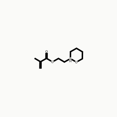 C=C(C)C(=O)OCC[SiH]1CCCCO1